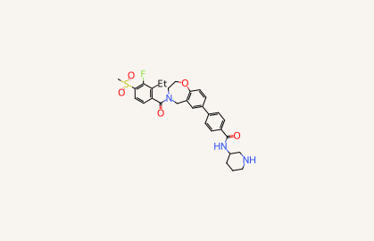 CCc1c(C(=O)N2CCOc3ccc(-c4ccc(C(=O)NC5CCCNC5)cc4)cc3C2)ccc(S(C)(=O)=O)c1F